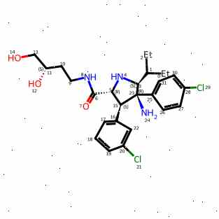 CCC(CC)[C@@H]1N[C@@H](C(=O)NCC[C@H](O)CO)[C@H](c2cccc(Cl)c2)[C@@]1(N)c1ccc(Cl)cc1